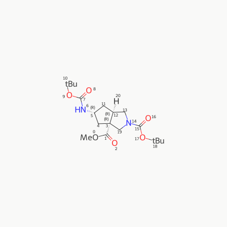 COC(=O)[C@]12C[C@H](NC(=O)OC(C)(C)C)C[C@H]1CN(C(=O)OC(C)(C)C)C2